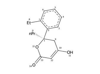 CCC[C@]1(c2ccccc2CC)CC(O)=CC(=O)O1